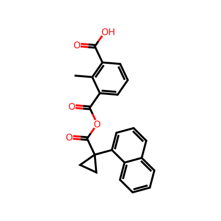 Cc1c(C(=O)O)cccc1C(=O)OC(=O)C1(c2cccc3ccccc23)CC1